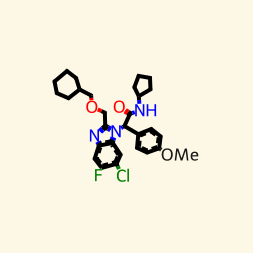 COc1ccc(C(C(=O)NC2CCCC2)n2c(COCC3CCCCC3)nc3cc(F)c(Cl)cc32)cc1